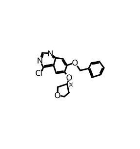 Clc1ncnc2cc(OCc3ccccc3)c(O[C@H]3CCOC3)cc12